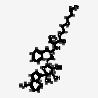 C=C[C@H](NP(OC[C@H]1O[C@@](C)(c2ccc3c(N)ncnn23)[C@H](O)[C@@H]1O)Oc1ccccc1)C(=O)OCCOCCOCC